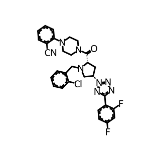 N#Cc1ccccc1N1CCN(C(=O)[C@@H]2C[C@H](n3nnc(-c4ccc(F)cc4F)n3)CN2Cc2ccccc2Cl)CC1